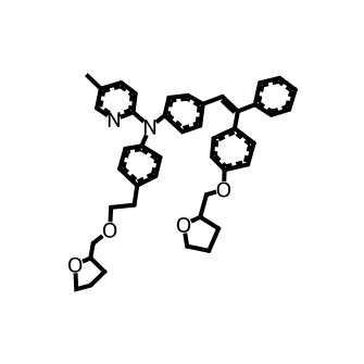 Cc1ccc(N(c2ccc(C=C(c3ccccc3)c3ccc(OCC4CCCO4)cc3)cc2)c2ccc(CCOCC3CCCO3)cc2)nc1